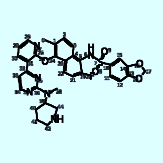 Cc1ccc2c(NS(=O)(=O)c3ccc4c(c3)OCO4)c(F)ccc2c1Oc1ncccc1-c1ccnc(N(C)C2CCCNC2)n1